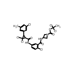 Cc1cc(Cl)cc(C2C(C(=O)Nc3ccc(Cl)c(C(=O)NC4CN(C(=O)OC(C)(Cl)Cl)C4)c3)C2(Cl)Cl)c1